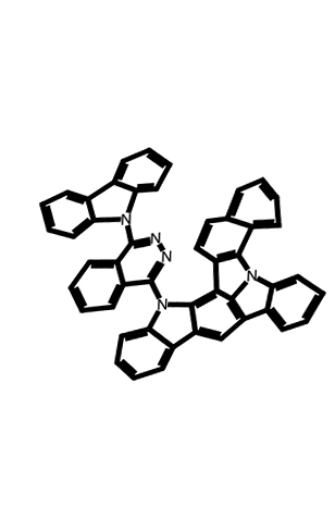 c1ccc2c(c1)ccc1c3c4c(cc5c6ccccc6n(c21)c53)c1ccccc1n4-c1nnc(-n2c3ccccc3c3ccccc32)c2ccccc12